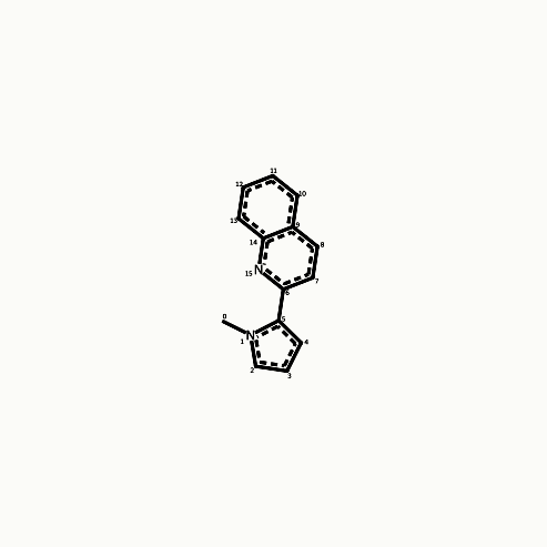 Cn1cccc1-c1ccc2ccccc2n1